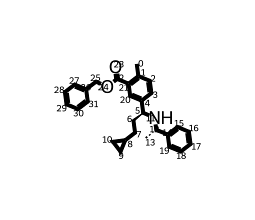 Cc1ccc([C@H](CCC2CC2)N[C@@H](C)c2ccccc2)cc1C(=O)OCc1ccccc1